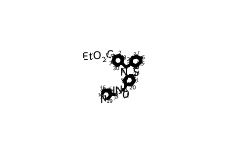 CCOC(=O)c1ccc(C2=Nc3cc(C(=O)NCc4cccnc4)ccc3Sc3ccccc32)cc1